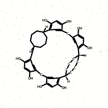 Oc1cc(O)c2cc1Cc1cc(c(O)cc1O)[C@H]1CCC[C@H](CCC1)c1cc(c(O)cc1O)Cc1cc(c(O)cc1O)[C@H]1CCC[C@@H]2CCC1